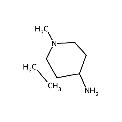 CC.CN1CCC(N)CC1